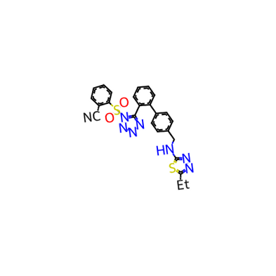 CCc1nnc(NCc2ccc(-c3ccccc3-c3nnnn3S(=O)(=O)c3ccccc3C#N)cc2)s1